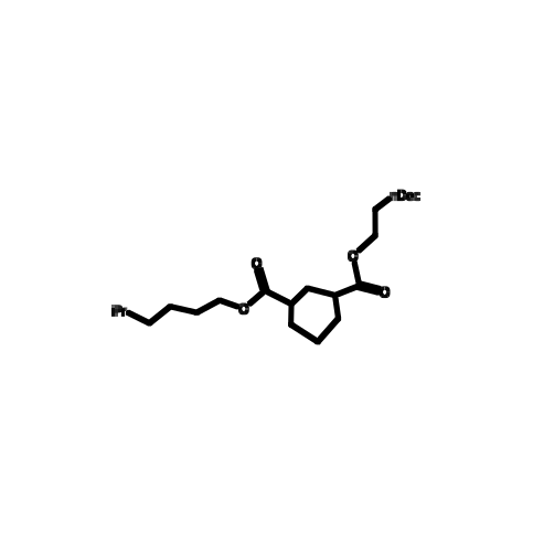 CCCCCCCCCCCCOC(=O)C1CCCC(C(=O)OCCCCC(C)C)C1